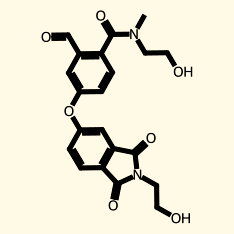 CN(CCO)C(=O)c1ccc(Oc2ccc3c(c2)C(=O)N(CCO)C3=O)cc1C=O